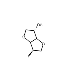 O[C@H]1COC2C1OC[C@H]2I